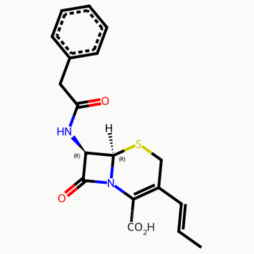 CC=CC1=C(C(=O)O)N2C(=O)[C@@H](NC(=O)Cc3ccccc3)[C@H]2SC1